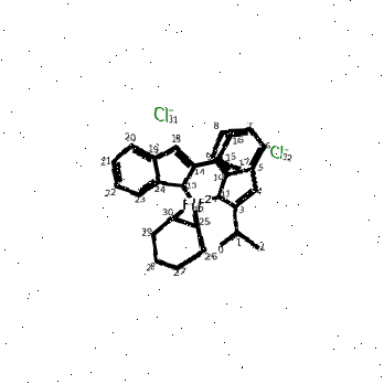 CC(C)C1=Cc2ccccc2[CH]1[Hf+2]1([CH]2C(C(C)C)=Cc3ccccc32)[CH]2CCCC[CH]21.[Cl-].[Cl-]